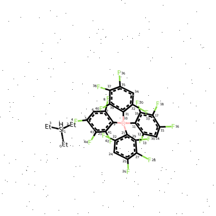 CC[SiH](CC)CC.Fc1cc(F)c([B-](c2c(F)cc(F)c(F)c2F)(c2c(F)cc(F)c(F)c2F)c2c(F)cc(F)c(F)c2F)c(F)c1F